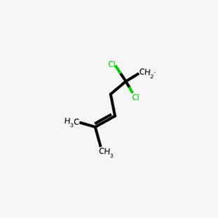 [CH2]C(Cl)(Cl)CC=C(C)C